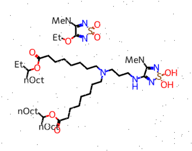 CCCCCCCCC(CC)OC(=O)CCCCCCCN(CCCCCCCC(=O)OC(CCCCCCCC)CCCCCCCC)CCCNC1=NS(O)(O)N=C1NC.CCOC1=NS(=O)(=O)N=C1NC